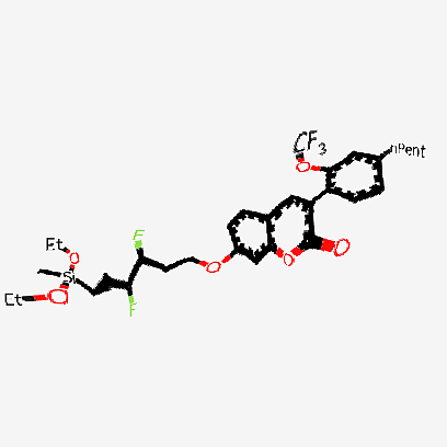 CCCCCc1ccc(-c2cc3ccc(OCCC(F)C(F)CC[Si](C)(OCC)OCC)cc3oc2=O)c(OC(F)(F)F)c1